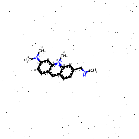 CNCc1ccc2cc3ccc(N(C)C)cc3[n+](C)c2c1